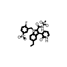 CCc1ccc2c(c1)c(-c1ccc[nH]c1=O)c(C(=O)NS(C)(=O)=O)n2Cc1cc([N+](=O)[O-])ccc1F